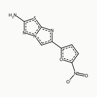 Nc1nn2cc(-c3ccc([N+](=O)[O-])o3)nc2s1